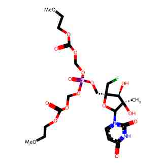 COCCOC(=O)OCOP(=O)(OCOC(=O)OCCOC)OC[C@@]1(CF)OC(n2ccc(=O)[nH]c2=O)[C@](C)(O)[C@@H]1O